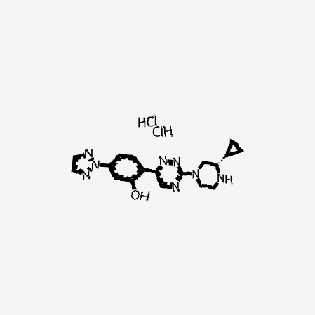 Cl.Cl.Oc1cc(-n2nccn2)ccc1-c1cnc(N2CCN[C@@H](C3CC3)C2)nn1